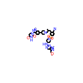 COCc1nn(C)c2nc(NC3CCN(S(=O)(=O)c4ccc(C#N)c(CC(C)CN5CCC(c6ccc7c(N8CCC(=O)NC8=O)nn(C)c7c6)CC5)c4)CC3)ncc12